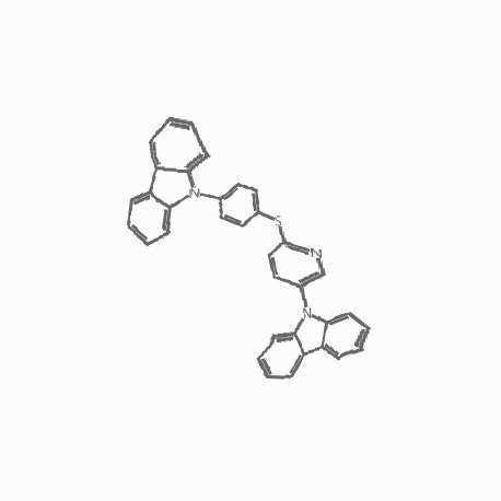 c1ccc2c(c1)c1ccccc1n2-c1ccc(Sc2ccc(-n3c4ccccc4c4ccccc43)cn2)cc1